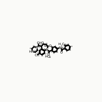 COc1cc(NC(=O)c2ccccc2C)ccc1C(=O)N1CCCC(C(C=O)N2CCNCC2)c2cc(Cl)ccc21.Cl